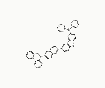 c1ccc(N(c2ccccc2)c2ccc3sc4ccc(-c5ccc6cc(-c7cc8ccccc8c8ccccc78)ccc6c5)cc4c3c2)cc1